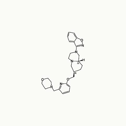 c1cc(CN2CCOCC2)nc(OC[C@@H]2CC[C@H]3CN(c4noc5ccccc45)CCN3C2)c1